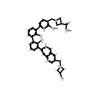 COC(=O)C1CN(Cc2ccc(-c3cccc(-c4cccc(-c5cc6ncc(CN7CC(C(C)=O)C7)cc6cn5)c4Cl)c3Cl)nc2OC)C1